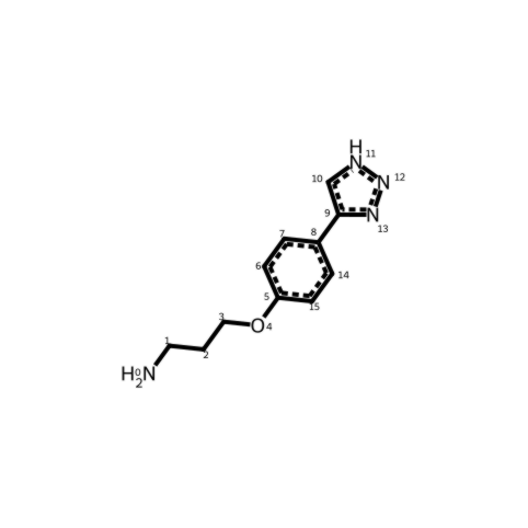 NCCCOc1ccc(-c2c[nH]nn2)cc1